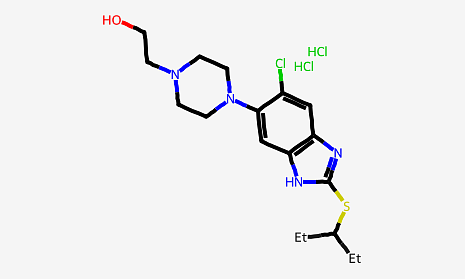 CCC(CC)Sc1nc2cc(Cl)c(N3CCN(CCO)CC3)cc2[nH]1.Cl.Cl